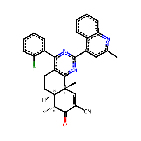 Cc1cc(-c2nc(-c3ccccc3F)c3c(n2)[C@]2(C)C=C(C#N)C(=O)[C@H](C)[C@H]2CC3)c2ccccc2n1